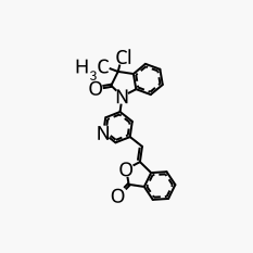 CC1(Cl)C(=O)N(c2cncc(C=C3OC(=O)c4ccccc43)c2)c2ccccc21